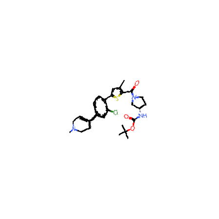 Cc1cc(-c2ccc(C3=CCN(C)CC3)cc2Cl)sc1C(=O)N1CC[C@H](NC(=O)OC(C)(C)C)C1